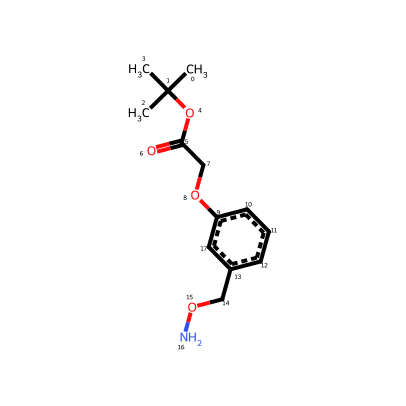 CC(C)(C)OC(=O)COc1cccc(CON)c1